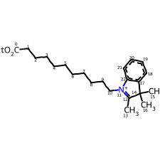 CCOC(=O)CCCCCCCCCC[N+]1=C(C)C(C)(C)c2ccccc21